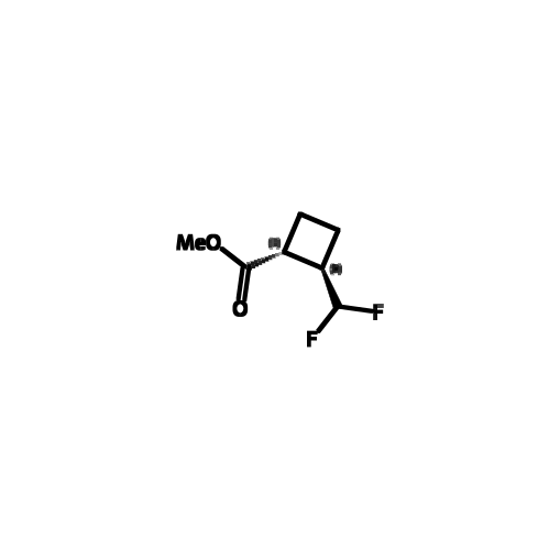 COC(=O)[C@@H]1CC[C@H]1C(F)F